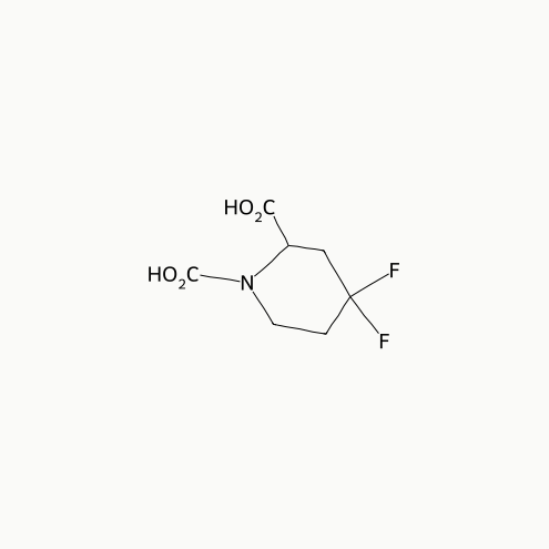 O=C(O)C1CC(F)(F)CCN1C(=O)O